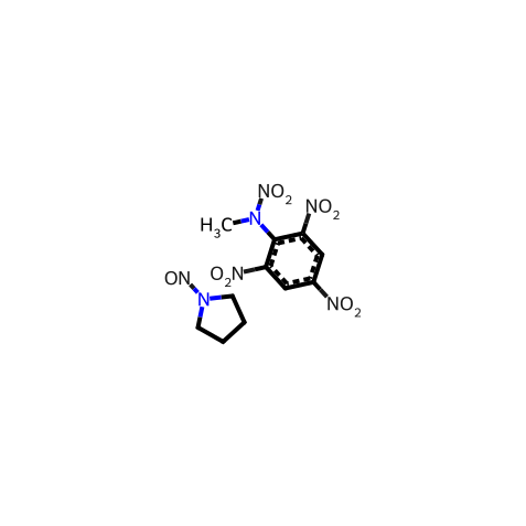 CN(c1c([N+](=O)[O-])cc([N+](=O)[O-])cc1[N+](=O)[O-])[N+](=O)[O-].O=NN1CCCC1